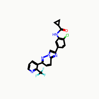 O=C(Nc1cc(-c2cn3nc(-c4cccnc4C(F)(F)F)ccc3n2)ccc1Cl)C1CC1